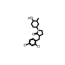 CC1CC(N2CCC(Cc3ccc(Cl)cc3Cl)C2=O)CCC1O